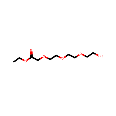 CCOC(=O)COCCOCCOCCO